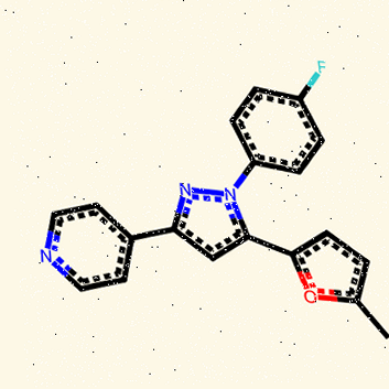 Cc1ccc(-c2cc(-c3ccncc3)nn2-c2ccc(F)cc2)o1